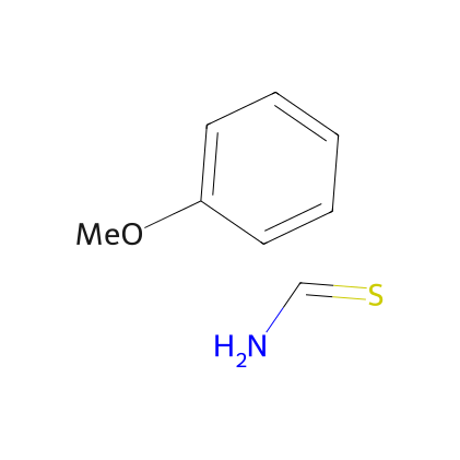 COc1ccccc1.NC=S